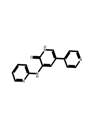 O=c1[nH]cc(-c2ccncc2)cc1Nc1ccccn1